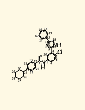 C=C(Nc1ccc(Cl)c(-c2nc(-c3ccccc3)c[nH]2)c1)c1ccc(C2CCCCC2)cc1